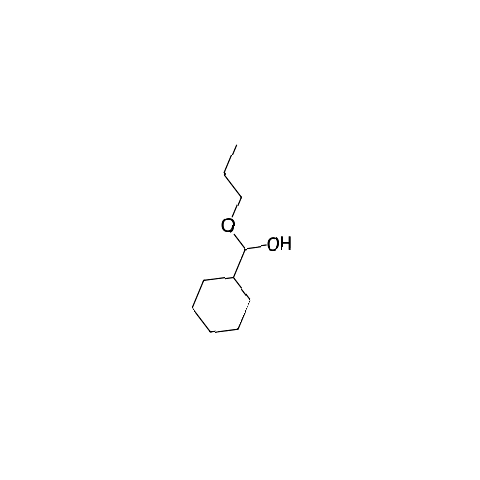 CCCOC(O)C1CCCCC1